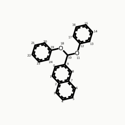 [c]1cc2ccccc2cc1C(Oc1ccccc1)Oc1ccccc1